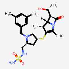 Cc1cc(C)cc(CN2C[C@@H](SC3=C(C=O)N4C(=O)[C@H]([C@@H](C)O)[C@H]4[C@H]3C)C[C@H]2CNS(N)(=O)=O)c1